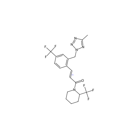 Cc1nnn(Cc2cc(C(F)(F)F)ccc2/C=C/C(=O)N2CCCCC2C(F)(F)F)n1